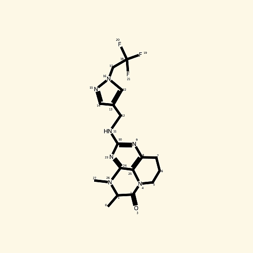 CC1C(=O)N2CCCc3nc(NCc4cnn(CC(F)(F)F)c4)nc(c32)N1C